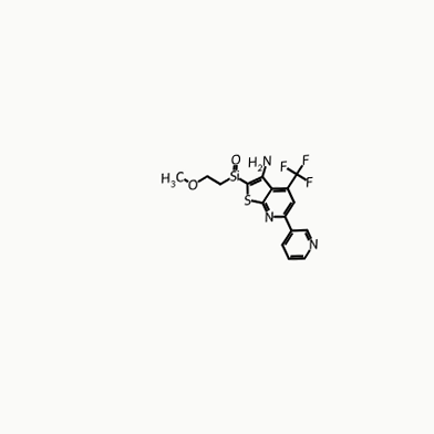 COCC[Si](=O)c1sc2nc(-c3cccnc3)cc(C(F)(F)F)c2c1N